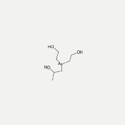 CC(O)C[As](CCO)CCO